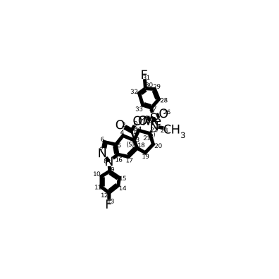 COC(=O)[C@]12Cc3cnn(-c4ccc(F)cc4)c3C=C1CC[C@H](N(C)S(=O)(=O)c1ccc(F)cc1)C2